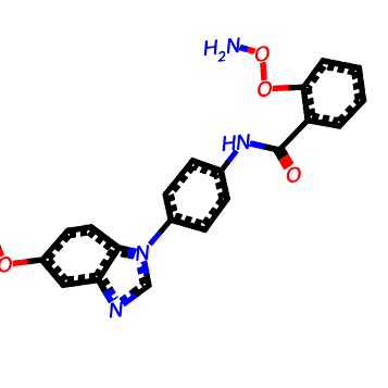 COc1ccc2c(c1)ncn2-c1ccc(NC(=O)c2ccccc2OON)cc1